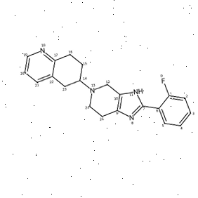 Fc1ccccc1-c1nc2c([nH]1)CN(C1CCc3ncccc3C1)CC2